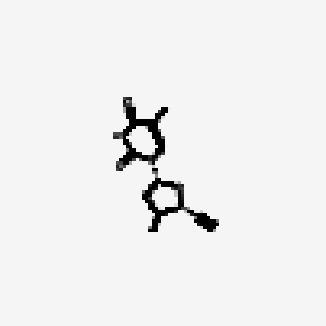 C#C[C@H]1O[C@@H](n2cc(C)c(=O)[nH]c2=O)CC1C